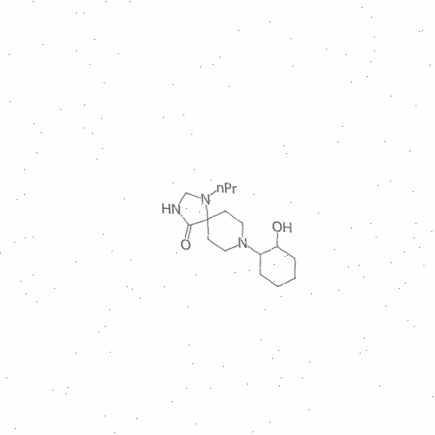 CCCN1CNC(=O)C12CCN(C1CCCCC1O)CC2